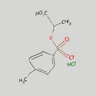 Cc1ccc(S(=O)(=O)OC(C)C(=O)O)cc1.Cl